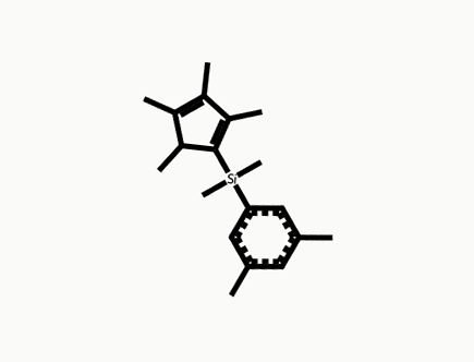 CC1=C(C)C(C)C([Si](C)(C)c2cc(C)cc(C)c2)=C1C